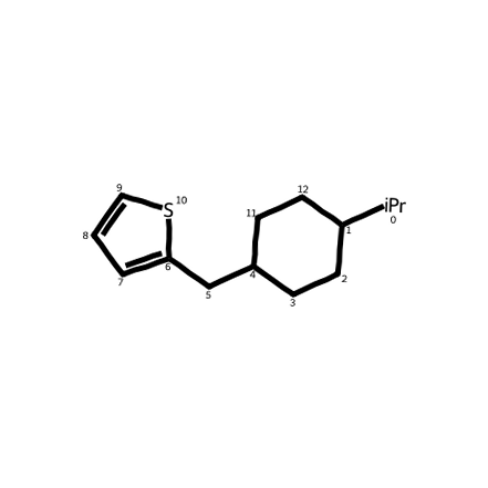 CC(C)C1CCC(Cc2cccs2)CC1